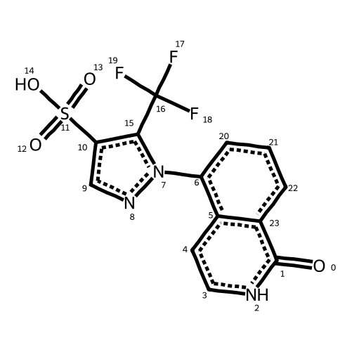 O=c1[nH]ccc2c(-n3ncc(S(=O)(=O)O)c3C(F)(F)F)cccc12